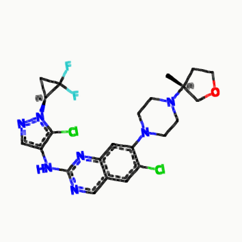 C[C@@]1(N2CCN(c3cc4nc(Nc5cnn([C@H]6CC6(F)F)c5Cl)ncc4cc3Cl)CC2)CCOC1